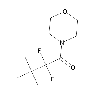 CC(C)(C)C(F)(F)C(=O)N1CCOCC1